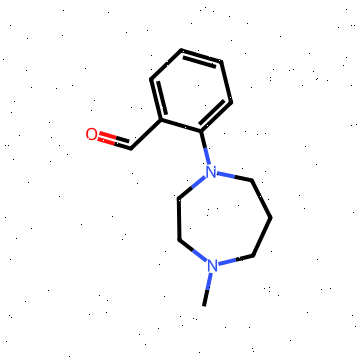 CN1CCCN(c2ccccc2C=O)CC1